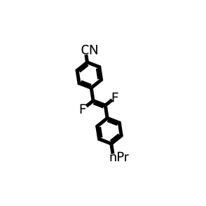 CCCc1ccc(/C(F)=C(\F)c2ccc(C#N)cc2)cc1